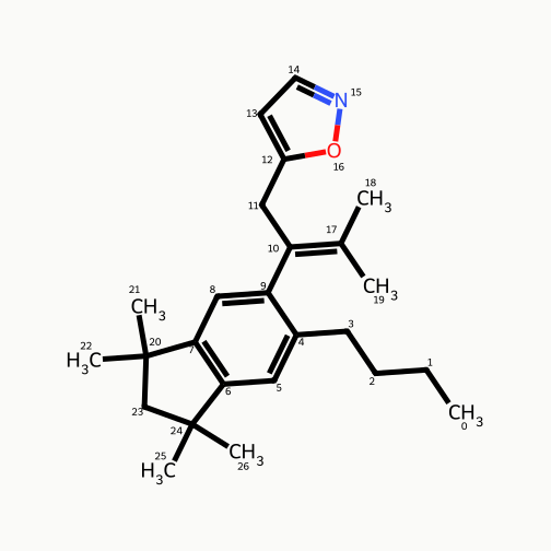 CCCCc1cc2c(cc1C(Cc1ccno1)=C(C)C)C(C)(C)CC2(C)C